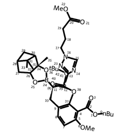 CCCCOC(=O)c1c(OC)ccc(C[C@H](Sc2ncn(CCCC(=O)OC)n2)B2OC3CC4CC(C4(C)C)[C@]3(C)O2)c1OC(=O)OC(C)(C)C